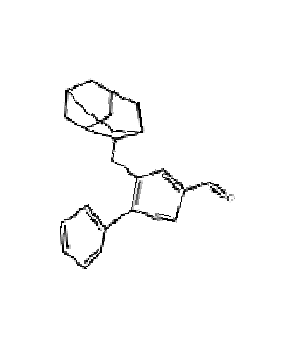 O=[C]c1ccc(-c2ccccc2)c(CC2C3CC4CC(C3)CC2C4)c1